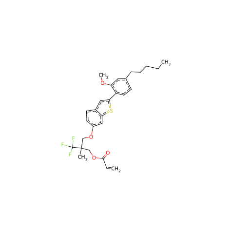 C=CC(=O)OCC(C)(COc1ccc2cc(-c3ccc(CCCCC)cc3OC)sc2c1)C(F)(F)F